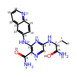 CC[C@@H](Nc1cnc(C(N)=O)c(Nc2ccc3ncccc3c2)n1)C(N)=O